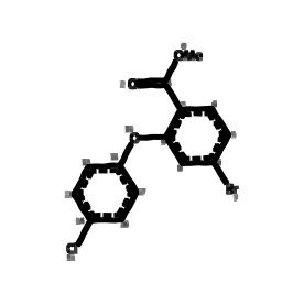 COC(=O)c1ccc(Br)cc1Oc1ccc(Cl)cc1